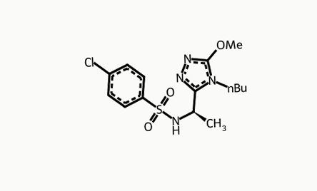 CCCCn1c(OC)nnc1[C@@H](C)NS(=O)(=O)c1ccc(Cl)cc1